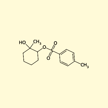 Cc1ccc(S(=O)(=O)OC2CCCCC2(C)O)cc1